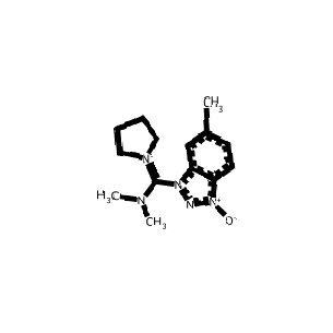 Cc1ccc2c(c1)n(C(N(C)C)=[N+]1CCCC1)n[n+]2[O-]